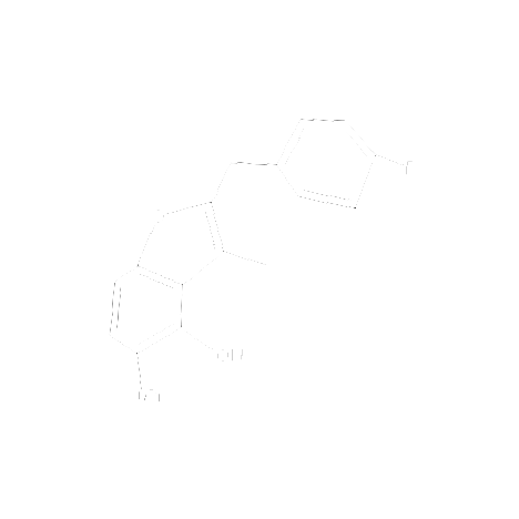 CCCc1ccc2oc(Cc3ccc(F)cc3)c(C)c2c1O